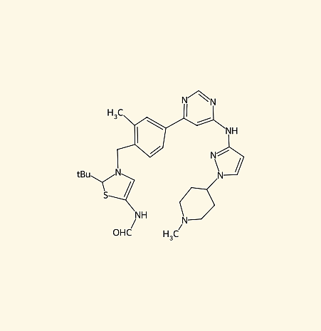 Cc1cc(-c2cc(Nc3ccn(C4CCN(C)CC4)n3)ncn2)ccc1CN1C=C(NC=O)SC1C(C)(C)C